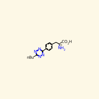 CCCCc1nnc(-c2ccc(C[C@H](N)C(=O)O)cc2)nn1